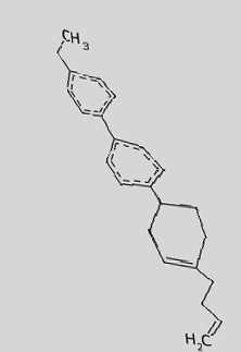 C=CCCC1=CCC(c2ccc(-c3ccc(CC)cc3)cc2)CC1